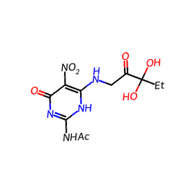 CCC(O)(O)C(=O)CNc1[nH]c(NC(C)=O)nc(=O)c1[N+](=O)[O-]